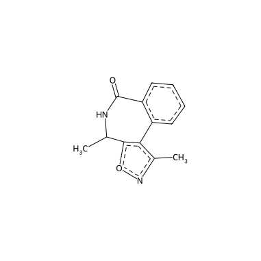 Cc1noc2c1-c1ccccc1C(=O)NC2C